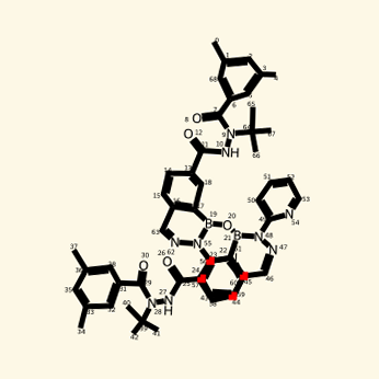 Cc1cc(C)cc(C(=O)N(NC(=O)c2ccc3c(c2)B(OB2c4cc(C(=O)NN(C(=O)c5cc(C)cc(C)c5)C(C)(C)C)ccc4C=NN2c2ccccn2)N(c2ccccn2)N=C3)C(C)(C)C)c1